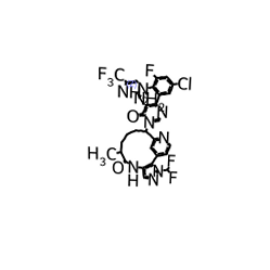 CC1CCCC(n2cnc(-c3cc(Cl)cc(F)c3N(N)/C=C(\N)C(F)(F)F)cc2=O)c2cc(ccn2)-c2c(cnn2C(F)F)NC1=O